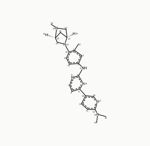 Cc1cc(Nc2nccc(-c3ccc(N(C)C)nc3)n2)ccc1N1C[C@@H]2C[C@H]1CN2C